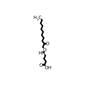 CCCCCCCCCC(=O)CONCCCC(=O)O